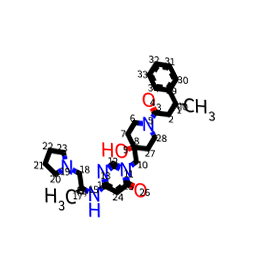 C[C@H](CC(=O)N1CCC(O)(Cn2cnc(N[C@@H](C)CN3CCCC3)cc2=O)CC1)c1ccccc1